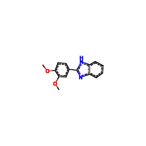 COc1ccc(-c2nc3ccccc3[nH]2)cc1OC